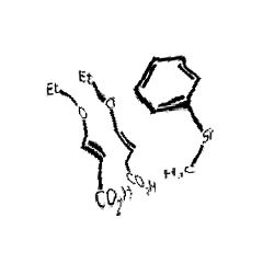 CCOC=CC(=O)O.CCOC=CC(=O)O.C[Si]c1ccccc1